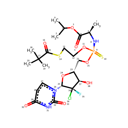 CC(C)OC(=O)[C@@H](C)N[P@](=S)(OCCSC(=O)C(C)(C)C)OC[C@H]1O[C@@H](n2ccc(=O)[nH]c2=O)[C@@](F)(Cl)[C@@H]1O